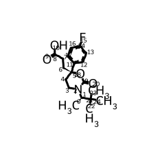 C[C@H](N1CC[C@](CCC(=O)O)(c2ccc(F)cc2)OC1=O)C(C)(C)C